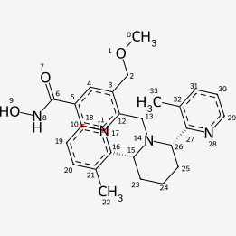 COCc1cc(C(=O)NO)ccc1CN1[C@@H](c2ncccc2C)CCC[C@H]1c1ncccc1C